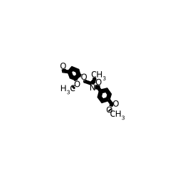 COC(=O)c1ccc(-c2nc(COc3ccc(C=O)cc3OC)c(C)o2)cc1